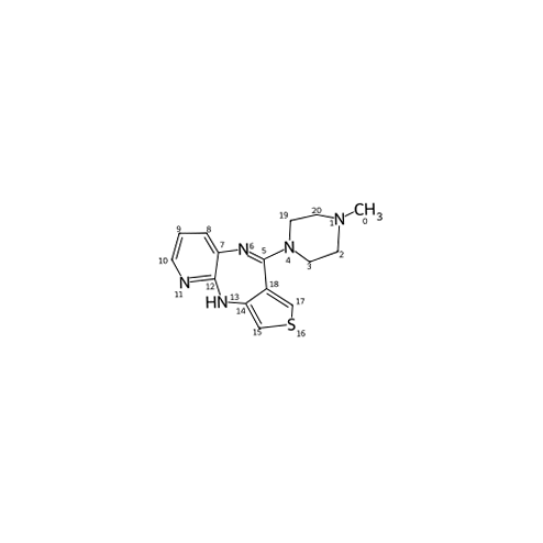 CN1CCN(C2=Nc3cccnc3Nc3cscc32)CC1